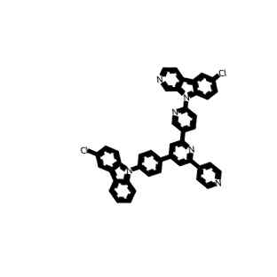 Clc1ccc2c(c1)c1ccccc1n2-c1ccc(-c2cc(-c3ccncc3)nc(-c3ccc(-n4c5ccc(Cl)cc5c5ccncc54)nc3)c2)cc1